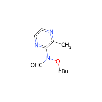 CCCCON(C=O)c1nccnc1C